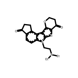 CCN(CC)CCn1c2ccc3c(c2c2c4c(sc21)C(=O)CCO4)CCC3=O